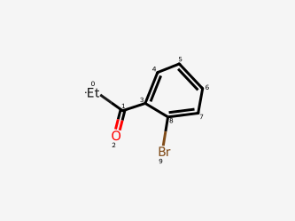 C[CH]C(=O)c1ccccc1Br